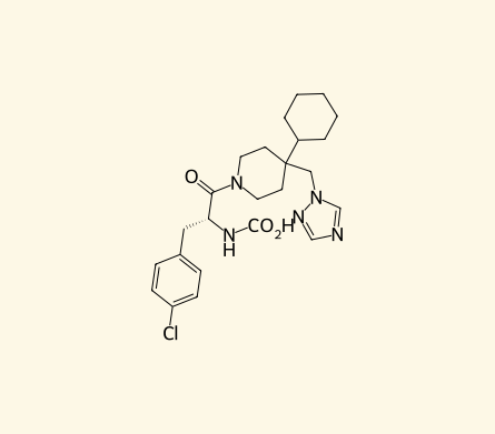 O=C(O)N[C@H](Cc1ccc(Cl)cc1)C(=O)N1CCC(Cn2cncn2)(C2CCCCC2)CC1